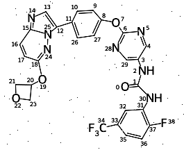 O=C(Nc1cnc(Oc2ccc(-c3cnc4ccc(OC5COC5)nn34)cc2)nc1)Nc1cc(C(F)(F)F)ccc1F